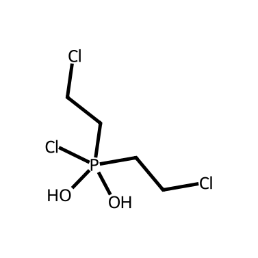 OP(O)(Cl)(CCCl)CCCl